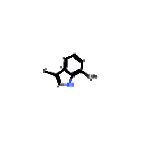 [2H]c1c[nH]c2c(OC)cccc12